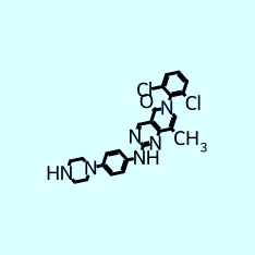 Cc1cn(-c2c(Cl)cccc2Cl)c(=O)c2cnc(Nc3ccc(N4CCNCC4)cc3)nc12